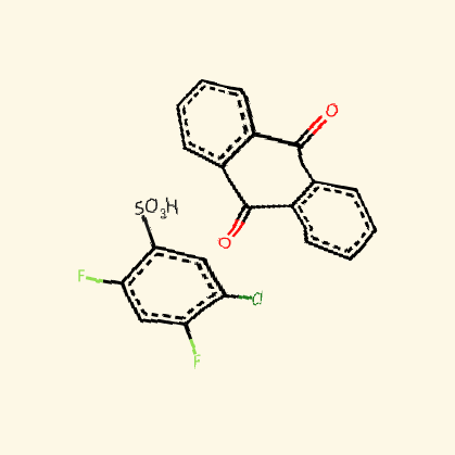 O=C1c2ccccc2C(=O)c2ccccc21.O=S(=O)(O)c1cc(Cl)c(F)cc1F